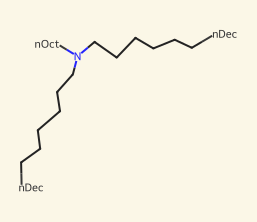 CCCCCCCCCCCCCCCCN(CCCCCCCC)CCCCCCCCCCCCCCCC